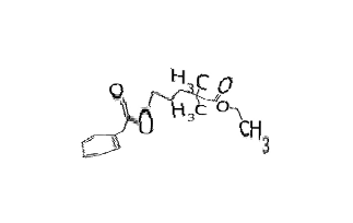 CCOC(=O)C(C)(C)CCCOC(=O)c1ccccc1